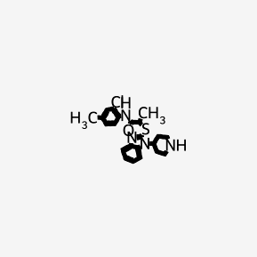 Cc1ccc(NC(=O)C(C)Sc2nc3ccccc3n2C2CCNCC2)c(Cl)c1